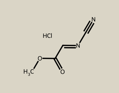 COC(=O)/C=N/C#N.Cl